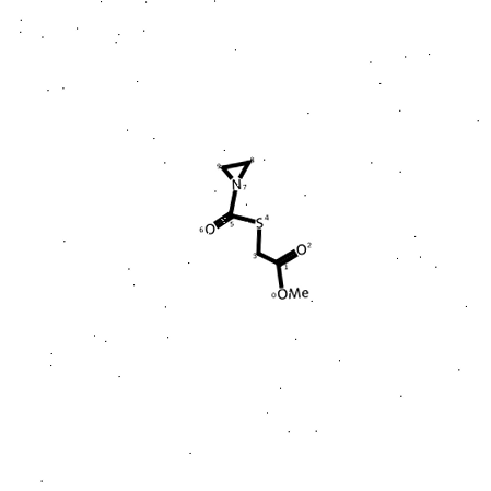 COC(=O)CSC(=O)N1CC1